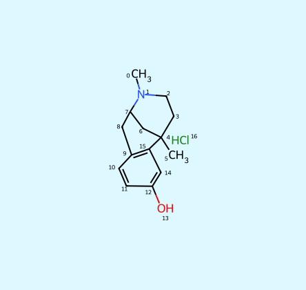 CN1CCC2(C)CC1Cc1ccc(O)cc12.Cl